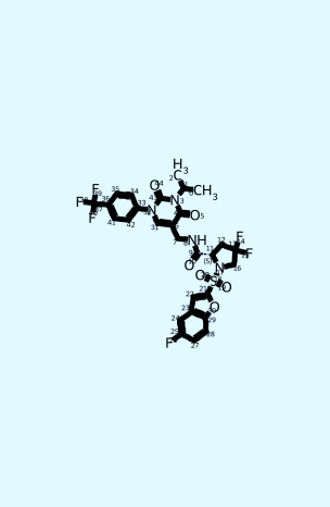 CC(C)n1c(=O)c(CNC(=O)[C@@H]2CC(F)(F)CN2S(=O)(=O)c2cc3cc(F)ccc3o2)cn(-c2ccc(C(F)(F)F)cc2)c1=O